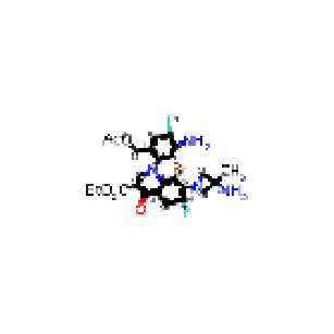 CCOC(=O)c1cn(-c2cc(N)c(F)cc2COC(C)=O)c2c(Br)c(N3CC(C)(N)C3)c(F)cc2c1=O